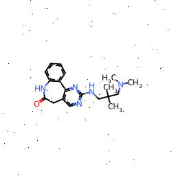 CN(C)CC(C)(C)CNc1ncc2c(n1)-c1ccccc1NC(=O)C2